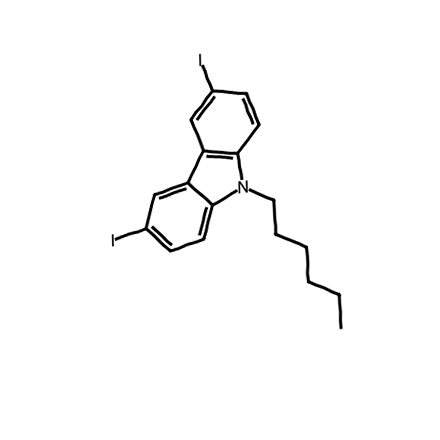 CCCCCCn1c2ccc(I)cc2c2cc(I)ccc21